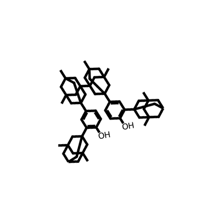 CC12CC3CC(C)(C1)CC(c1cc(C45CC6(C)CC(C)(C4)CC(C47CC8(C)CC(C)(CC(c9ccc(O)c(C%10%11CC%12CC(C)(CC(C)(C%12)C%10)C%11)c9)(C8)C4)C7)(C6)C5)ccc1O)(C3)C2